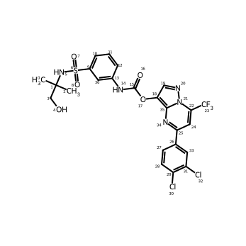 CC(C)(CO)NS(=O)(=O)c1cccc(NC(=O)Oc2cnn3c(C(F)(F)F)cc(-c4ccc(Cl)c(Cl)c4)nc23)c1